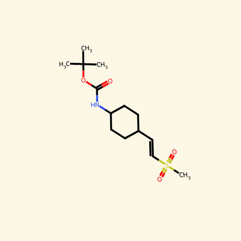 CC(C)(C)OC(=O)NC1CCC(C=CS(C)(=O)=O)CC1